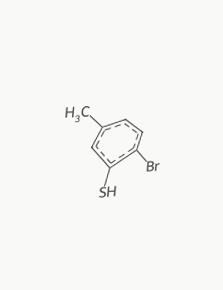 Cc1ccc(Br)c(S)c1